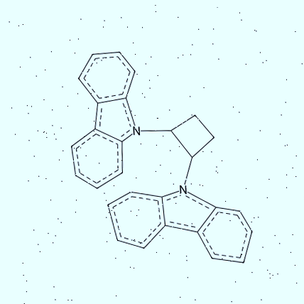 c1ccc2c(c1)c1ccccc1n2C1CCC1n1c2ccccc2c2ccccc21